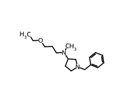 CCOCCCN(C)C1CCN(Cc2ccccc2)C1